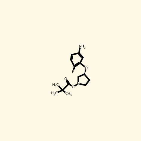 CC(C)(C)C(=O)ON1CC[C@H](Oc2cc(N)ccc2F)C1